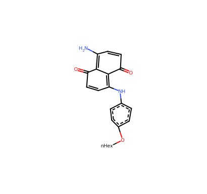 CCCCCCOc1ccc(NC2=C3C(=O)C=CC(N)=C3C(=O)C=C2)cc1